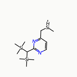 C[SiH](C)Cc1ccnc(C([Si](C)(C)C)[Si](C)(C)C)n1